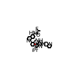 C=C(F)C(=O)Nc1ccc2c(-c3ccccc3CNc3nc(N4CCc5ncccc5C4)nc4c(C(C)C)cnn34)nccc2c1